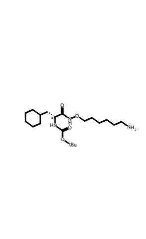 CC(C)(C)OC(=O)N[C@H](CC1CCCCC1)C(=O)NOCCCCCCN